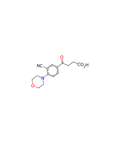 N#Cc1cc(C(=O)CCC(=O)O)ccc1N1CCOCC1